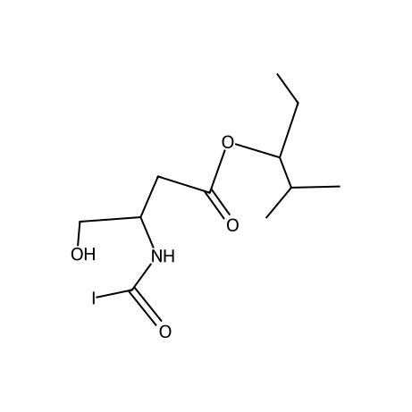 CCC(OC(=O)CC(CO)NC(=O)I)C(C)C